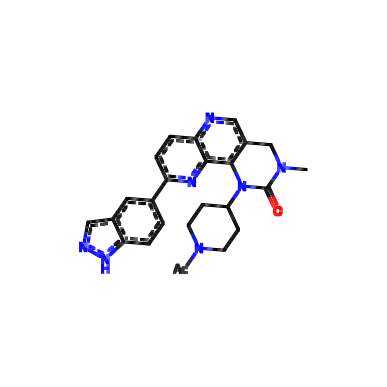 CC(=O)N1CCC(N2C(=O)N(C)Cc3cnc4ccc(-c5ccc6[nH]ncc6c5)nc4c32)CC1